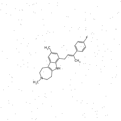 C/C(=C\Cc1cc(C)cc2c3c([nH]c12)CCN(C)CC3)c1ccc(F)cc1